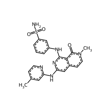 Cc1ccnc(Nc2cc3ccn(C)c(=O)c3c(Nc3cccc(S(N)(=O)=O)c3)n2)c1